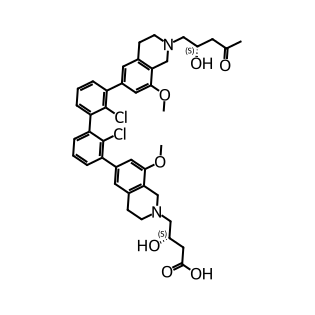 COc1cc(-c2cccc(-c3cccc(-c4cc5c(c(OC)c4)CN(C[C@@H](O)CC(=O)O)CC5)c3Cl)c2Cl)cc2c1CN(C[C@@H](O)CC(C)=O)CC2